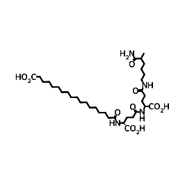 CC(CCCCNC(=O)CCC(NC(=O)CC[C@@H](NC(=O)CCCCCCCCCCCCCCCCC(=O)O)C(=O)O)C(=O)O)C(N)=O